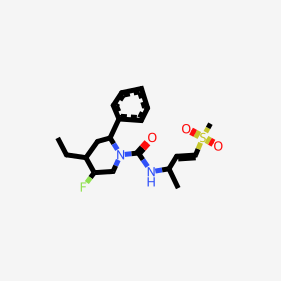 CCC1CC(c2ccccc2)N(C(=O)NC(C)/C=C/S(C)(=O)=O)CC1F